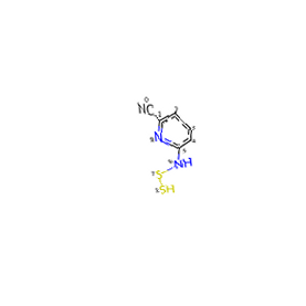 N#Cc1cccc(NSS)n1